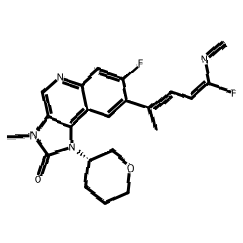 C=N/C(F)=C\C=C(/C)c1cc2c(cc1F)ncc1c2n([C@H]2CCCOC2)c(=O)n1C